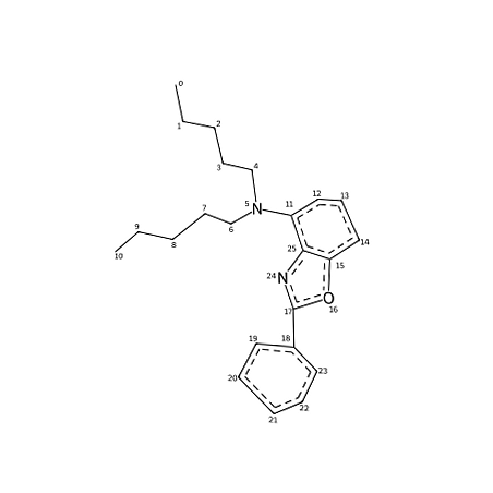 CCCCCN(CCCCC)c1cccc2oc(-c3ccccc3)nc12